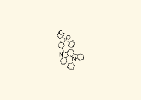 O=P(c1ccccc1)(c1ccccc1)c1cccc(-c2nc3ccccc3c3c2ccc2c4ccccc4n(-c4ccccc4)c23)c1